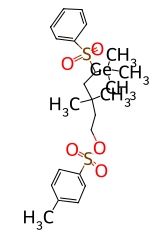 Cc1ccc(S(=O)(=O)OCCC(C)(C)C[CH](S(=O)(=O)c2ccccc2)[Ge]([CH3])([CH3])[CH3])cc1